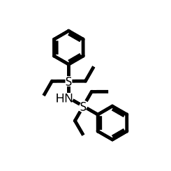 CCS(CC)(NS(CC)(CC)c1ccccc1)c1ccccc1